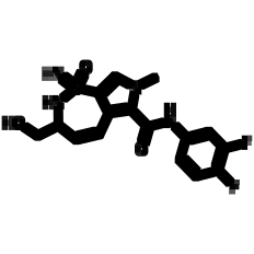 Cn1cc2c(c1C(=O)Nc1ccc(F)c(F)c1)C=CC(CO)NS2(=N)=O